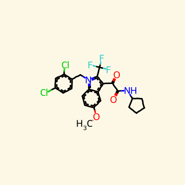 COc1ccc2c(c1)c(C(=O)C(=O)NC1CCCC1)c(C(F)(F)F)n2Cc1ccc(Cl)cc1Cl